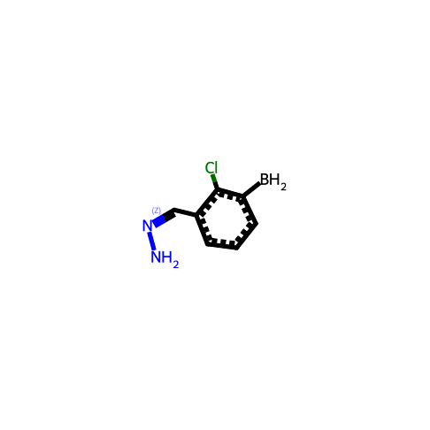 Bc1cccc(/C=N\N)c1Cl